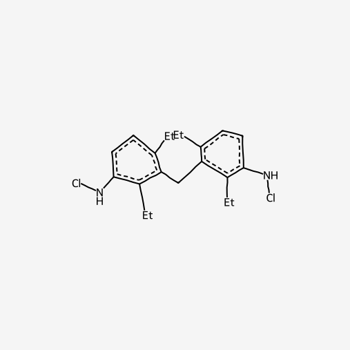 CCc1ccc(NCl)c(CC)c1Cc1c(CC)ccc(NCl)c1CC